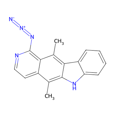 Cc1c2ccnc(N=[N+]=[N-])c2c(C)c2c1[nH]c1ccccc12